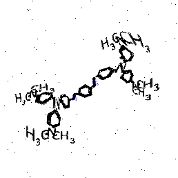 CN(C)c1ccc(N(c2ccc(/C=C/c3ccc(/C=C/c4ccc(N(c5ccc(N(C)C)cc5)c5ccc(N(C)C)cc5)cc4)cc3)cc2)c2ccc(N(C)C)cc2)cc1